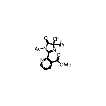 COC(=O)c1cccnc1C1=NC(C)(C(C)C)C(=O)N1C(C)=O